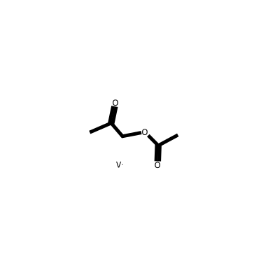 CC(=O)COC(C)=O.[V]